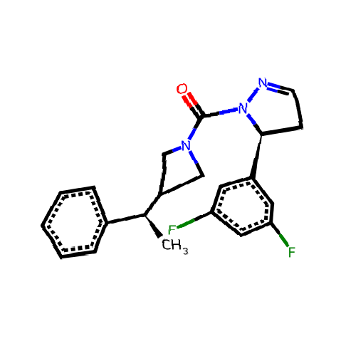 C[C@@H](c1ccccc1)C1CN(C(=O)N2N=CC[C@H]2c2cc(F)cc(F)c2)C1